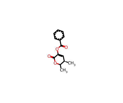 CC1OC(=O)C(OC(=O)c2ccccc2)=C[C@H]1C